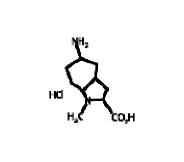 CN1C(C(=O)O)CC2CC(N)CCC21.Cl